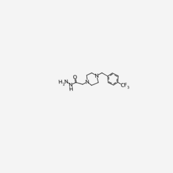 NNC(=O)CN1CCN(Cc2ccc(C(F)(F)F)cc2)CC1